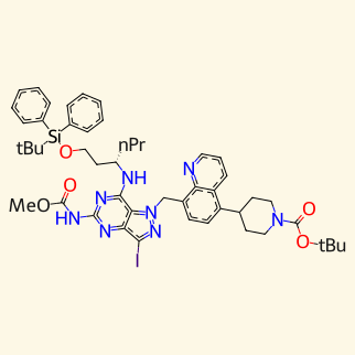 CCC[C@@H](CCO[Si](c1ccccc1)(c1ccccc1)C(C)(C)C)Nc1nc(NC(=O)OC)nc2c(I)nn(Cc3ccc(C4CCN(C(=O)OC(C)(C)C)CC4)c4cccnc34)c12